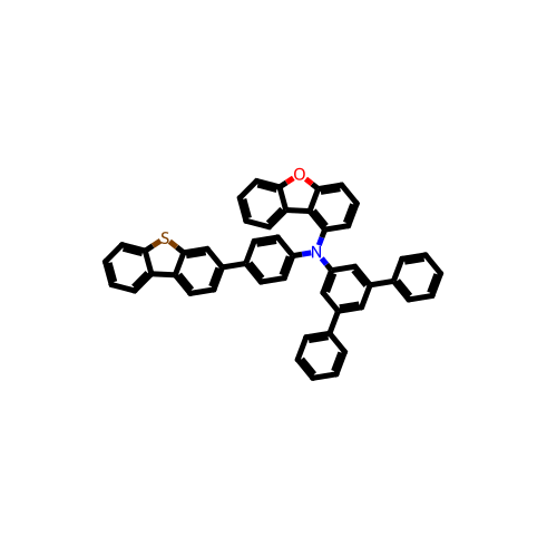 c1ccc(-c2cc(-c3ccccc3)cc(N(c3ccc(-c4ccc5c(c4)sc4ccccc45)cc3)c3cccc4oc5ccccc5c34)c2)cc1